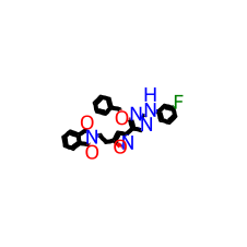 O=C1c2ccccc2C(=O)N1CCc1cc(-c2cnc(Nc3cccc(F)c3)nc2OCc2ccccc2)no1